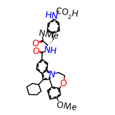 CNC(=O)[C@H](Cc1ccc(NC(=O)O)cc1)NC(=O)c1ccc2c(C3CCCCC3)c3n(c2c1)CCOc1cc(OC)ccc1-3